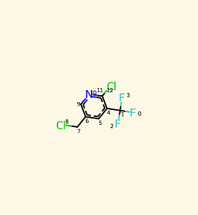 FC(F)(F)c1cc(CCl)cnc1Cl